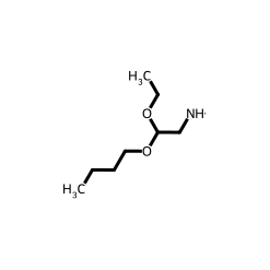 CCCCOC(C[NH])OCC